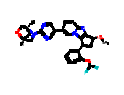 CO[C@@H]1C[C@H](c2ccccc2OC(F)F)c2c1nc1ccc(-c3cnc(N4C[C@@H]5C[C@H]4CO5)nc3)cn21